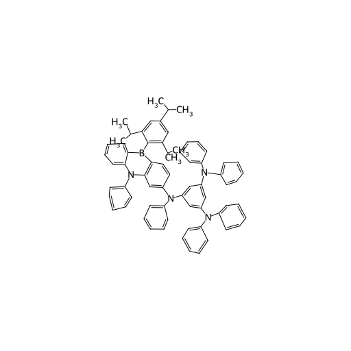 CC(C)c1cc(C(C)C)c(B2c3ccccc3N(c3ccccc3)c3cc(N(c4ccccc4)c4cc(N(c5ccccc5)c5ccccc5)cc(N(c5ccccc5)c5ccccc5)c4)ccc32)c(C(C)C)c1